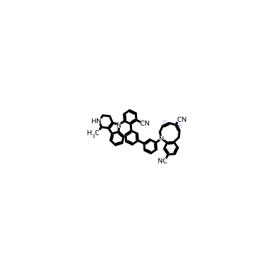 CC1NCCc2c1c1ccccc1n2-c1cccc(C#N)c1-c1cccc(-c2cccc(N3C/C=C\C(C#N)=C/Cc4ccc(C#N)cc43)c2)c1